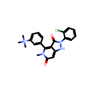 Cn1c(-c2cccc([N+](C)(C)C)c2)c2c(=O)n(-c3ccccc3Cl)[nH]c2cc1=O